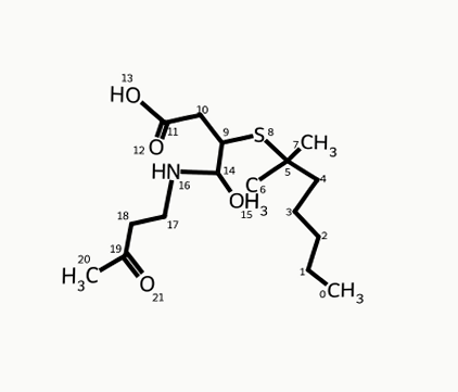 CCCCCC(C)(C)SC(CC(=O)O)C(O)NCCC(C)=O